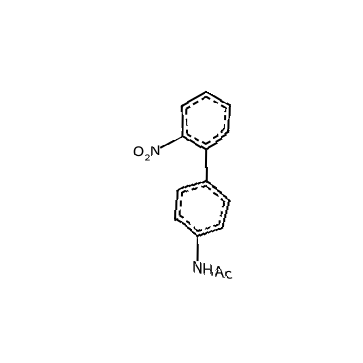 CC(=O)Nc1ccc(-c2ccccc2[N+](=O)[O-])cc1